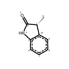 C[C@H]1C(=O)Nc2ccccc21